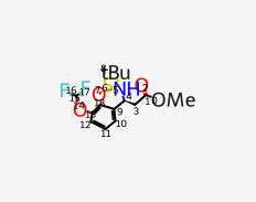 COC(=O)C[C@H](N[S@+]([O-])C(C)(C)C)c1cccc(OC(F)F)c1